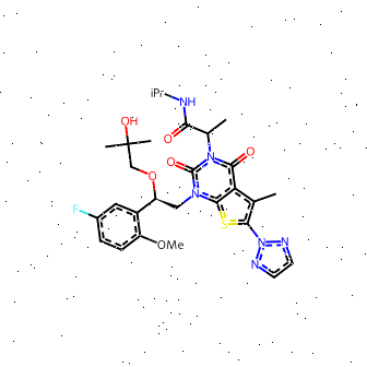 COc1ccc(F)cc1[C@H](Cn1c(=O)n(C(C)C(=O)NC(C)C)c(=O)c2c(C)c(-n3nccn3)sc21)OCC(C)(C)O